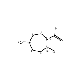 C=C(C)N1CCC(=O)CCN1C